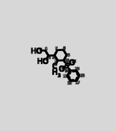 CC1C(C(O)CO)CCCC1S(=O)(=O)c1ccccc1